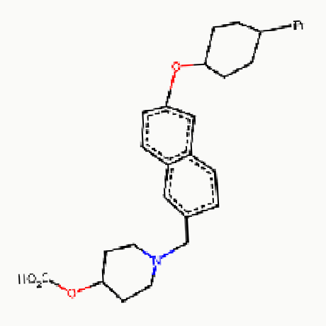 CC(C)C1CCC(Oc2ccc3cc(CN4CCC(OC(=O)O)CC4)ccc3c2)CC1